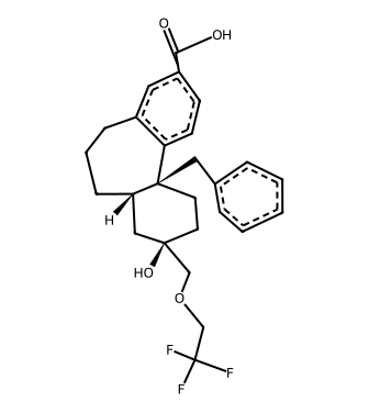 O=C(O)c1ccc2c(c1)CCC[C@H]1C[C@@](O)(COCC(F)(F)F)CC[C@@]21Cc1ccccc1